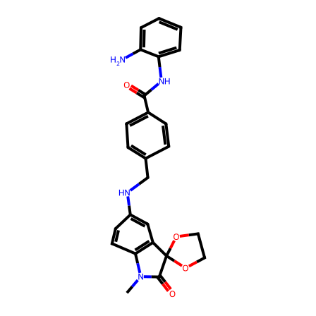 CN1C(=O)C2(OCCO2)c2cc(NCc3ccc(C(=O)Nc4ccccc4N)cc3)ccc21